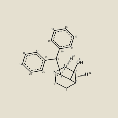 O[C@H]1C2CCN(CC2)[C@H]1C(c1ccccc1)c1ccccc1